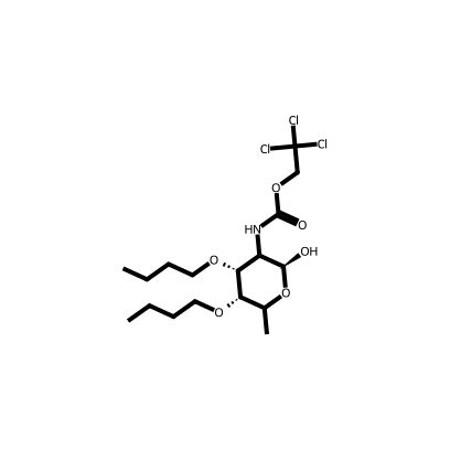 CCCCO[C@@H]1C(NC(=O)OCC(Cl)(Cl)Cl)[C@@H](O)OC(C)[C@@H]1OCCCC